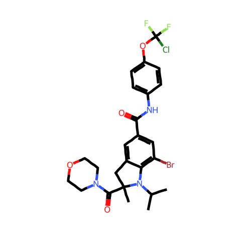 CC(C)N1c2c(Br)cc(C(=O)Nc3ccc(OC(F)(F)Cl)cc3)cc2CC1(C)C(=O)N1CCOCC1